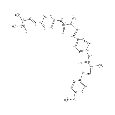 COc1ccc(/C=N/N(C)[PH](=S)Oc2ccc(/C=N/N(C)[PH](=S)Oc3ccc(/C=N/N(C)[PH](C)=S)cc3)cc2)cc1